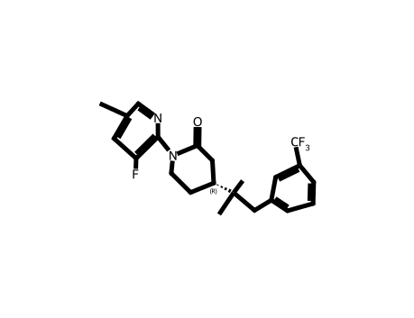 Cc1cnc(N2CC[C@@H](C(C)(C)Cc3cccc(C(F)(F)F)c3)CC2=O)c(F)c1